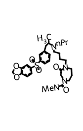 CCCN(CCCCN1CCCN(C(=O)NC)CC1=O)C(C)Cc1cccc(S(=O)(=O)c2ccc3c(c2)OCO3)c1